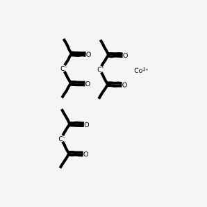 CC(=O)[CH-]C(C)=O.CC(=O)[CH-]C(C)=O.CC(=O)[CH-]C(C)=O.[Co+3]